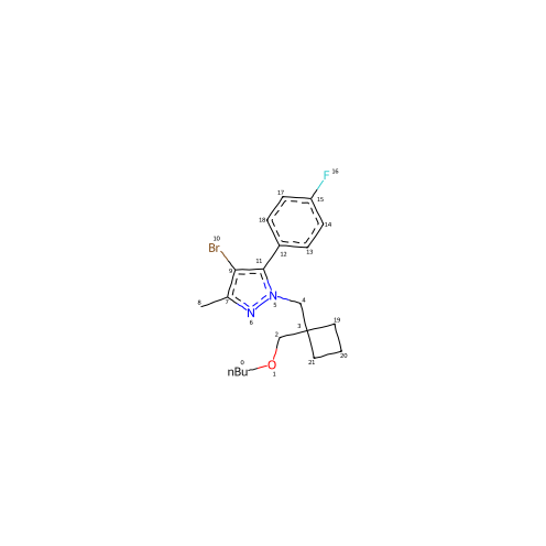 CCCCOCC1(Cn2nc(C)c(Br)c2-c2ccc(F)cc2)CCC1